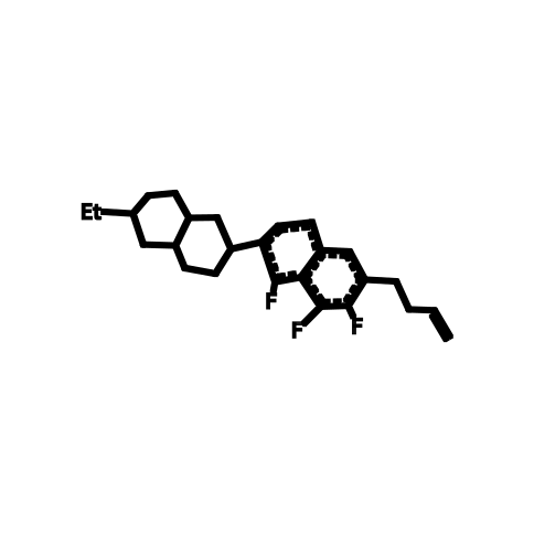 C=CCCc1cc2ccc(C3CCC4CC(CC)CCC4C3)c(F)c2c(F)c1F